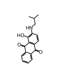 CC(C)CNc1ccc2c(c1O)C(=O)c1ccccc1C2=O